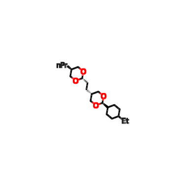 CCC[C@H]1CO[C@H](CC[C@H]2CO[C@H](C3CCC(CC)CC3)OC2)OC1